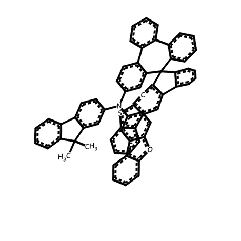 CC1(C)c2ccccc2-c2ccc(N(c3ccc4c(c3)C3(c5ccccc5-c5ccccc5-4)c4ccccc4-c4cc5c(cc43)sc3ccccc35)c3ccc4oc5ccccc5c4c3)cc21